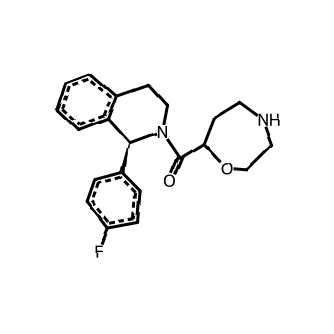 O=C(C1CCNCCO1)N1CCc2ccccc2[C@@H]1c1ccc(F)cc1